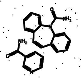 NC(=O)N1c2ccccc2C=Cc2ccccc21.NC(=O)c1cccnc1